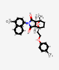 C[C@@]12CC[C@@](CCOc3ccc(C(F)(F)F)cc3)(O1)[C@H]1C(=O)N(c3ccc([N+](=O)[O-])c4ccccc34)C(=O)[C@H]12